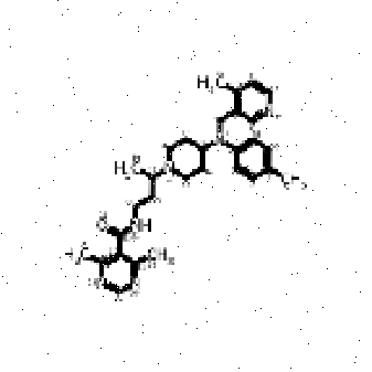 Cc1ccc(N(Cc2cnccc2C)C2CCN(C(C)CCNC(=O)c3c(C)ncnc3C)CC2)cc1